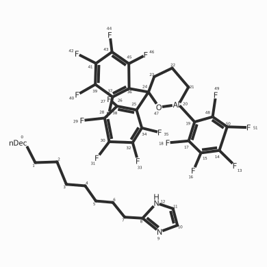 CCCCCCCCCCCCCCCCCc1ncc[nH]1.Fc1c(F)c(F)[c]([Al]2[CH2]CCC(c3c(F)c(F)c(F)c(F)c3F)(c3c(F)c(F)c(F)c(F)c3F)[O]2)c(F)c1F